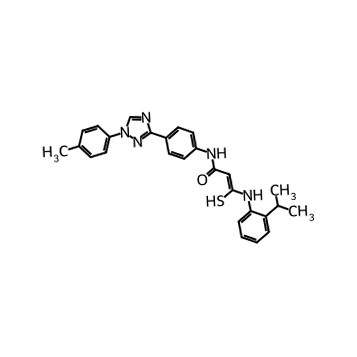 Cc1ccc(-n2cnc(-c3ccc(NC(=O)/C=C(\S)Nc4ccccc4C(C)C)cc3)n2)cc1